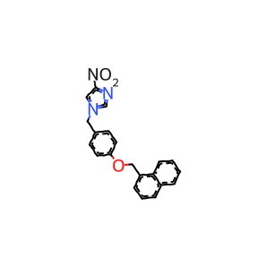 O=[N+]([O-])c1cn(Cc2ccc(OCc3cccc4ccccc34)cc2)cn1